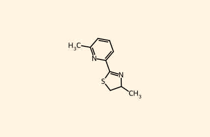 Cc1cccc(C2=NC(C)CS2)n1